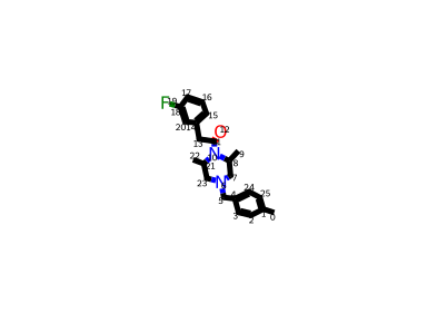 Cc1ccc(CN2CC(C)N(C(=O)Cc3cccc(F)c3)C(C)C2)cc1